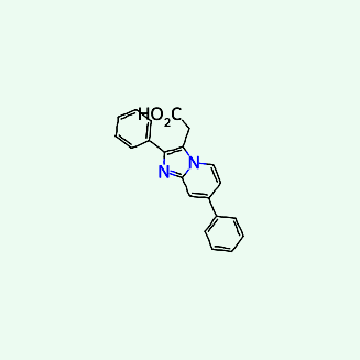 O=C(O)Cc1c(-c2ccccc2)nc2cc(-c3ccccc3)ccn12